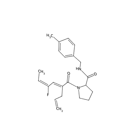 C=CC/C(=C\C(F)=C/C)C(=O)N1CCCC1C(=O)NCc1ccc(C)cc1